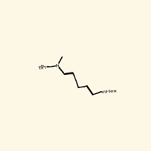 CCCCCCCCCCCN(C)CCC